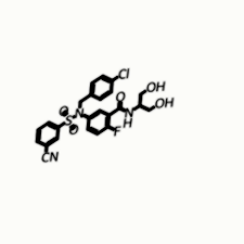 N#Cc1cccc(S(=O)(=O)N(Cc2ccc(Cl)cc2)c2ccc(F)c(C(=O)NC(CO)CO)c2)c1